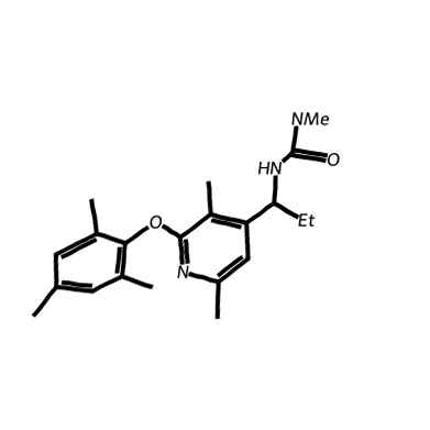 CCC(NC(=O)NC)c1cc(C)nc(Oc2c(C)cc(C)cc2C)c1C